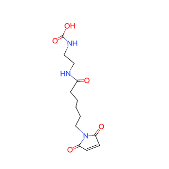 O=C(O)NCCNC(=O)CCCCCN1C(=O)C=CC1=O